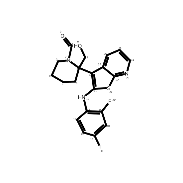 O=CN1CCCCC1(CO)c1c(Nc2ccc(I)cc2F)sc2ncccc12